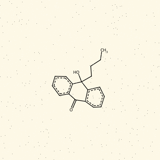 CCCCC1(O)c2ccccc2C(=O)c2ccccc21